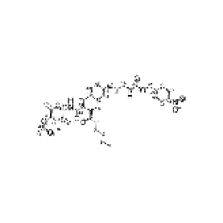 CCCCCC(=O)N1Cc2cc(OCCNC(=O)OCc3ccc([N+](=O)[O-])cc3)ccc2C[C@H]1C(=O)Nc1cc(C)c(OC(C)=O)c(C)c1C